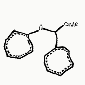 COC(Oc1[c]cccc1)c1ccccc1